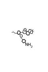 CCCc1ccc(C2=Cc3ccc4c(c3OC2)C=CC(C)(C)O4)c(OCc2ccc(N)cc2)c1